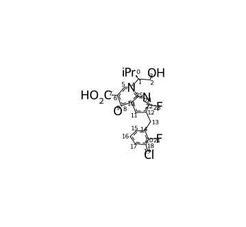 CC(C)[C@@H](CO)n1cc(C(=O)O)c(=O)c2cc(Cc3cccc(Cl)c3F)c(F)nc21